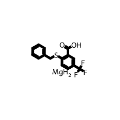 O=C(O)c1cc(C(F)(F)F)ccc1SCc1ccccc1.[MgH2]